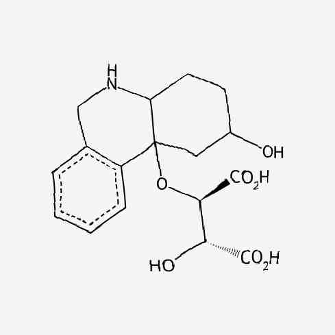 O=C(O)[C@H](O)[C@@H](OC12CC(O)CCC1NCc1ccccc12)C(=O)O